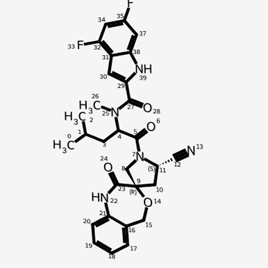 CC(C)CC(C(=O)N1C[C@@]2(C[C@H]1C#N)OCc1ccccc1NC2=O)N(C)C(=O)c1cc2c(F)cc(F)cc2[nH]1